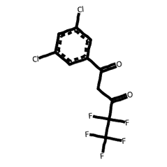 O=C(CC(=O)C(F)(F)C(F)(F)F)c1cc(Cl)cc(Cl)c1